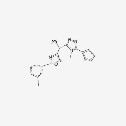 Cn1c(-c2cccs2)nnc1C(S)c1noc(-c2cccc(I)c2)n1